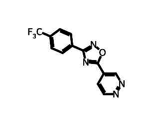 FC(F)(F)c1ccc(-c2noc(-c3ccnnc3)n2)cc1